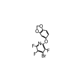 Fc1nc(Oc2ccc3c(c2)OCO3)c(F)c(Br)c1F